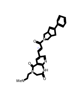 CNCCN1CC(=O)Nc2ncc(/C=C/C(=O)N3CC4C=C(c5ccccc5)CC4C3)cc2C1=O